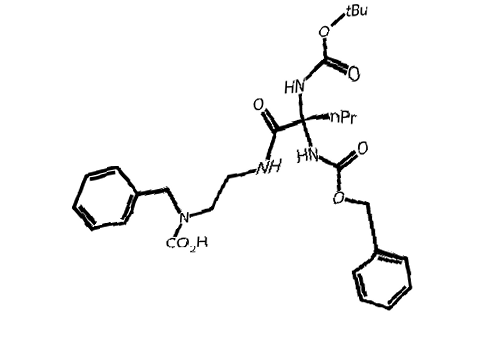 CCC[C@](NC(=O)OCc1ccccc1)(NC(=O)OC(C)(C)C)C(=O)NCCN(Cc1ccccc1)C(=O)O